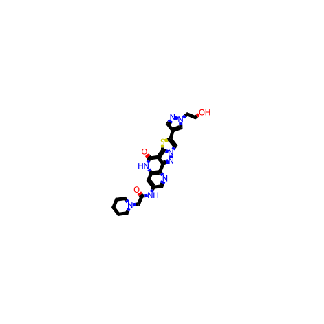 O=C(CN1CCCCC1)Nc1cnc2c(c1)[nH]c(=O)c1c2nn2cc(-c3cnn(CCO)c3)sc12